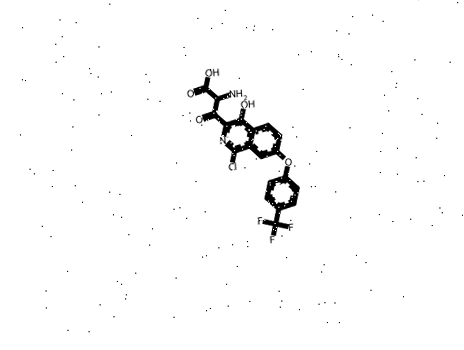 NC(C(=O)O)C(=O)c1nc(Cl)c2cc(Oc3ccc(C(F)(F)F)cc3)ccc2c1O